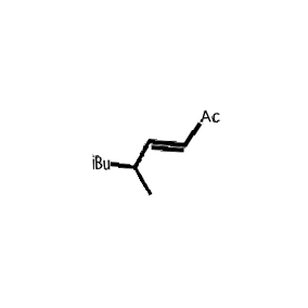 CCC(C)C(C)C=CC(C)=O